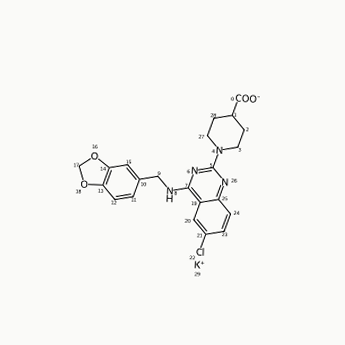 O=C([O-])C1CCN(c2nc(NCc3ccc4c(c3)OCO4)c3cc(Cl)ccc3n2)CC1.[K+]